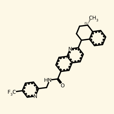 C[C@H]1CCC(c2ccc3cc(C(=O)NCc4ccc(C(F)(F)F)cn4)ccc3n2)c2ccccc21